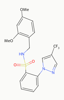 COc1ccc(CNS(=O)(=O)c2ccccc2-n2cc(C(F)(F)F)cn2)c(OC)c1